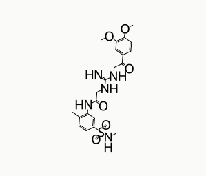 CNS(=O)(=O)c1ccc(C)c(NC(=O)CNC(=N)NCC(=O)c2ccc(OC)c(OC)c2)c1